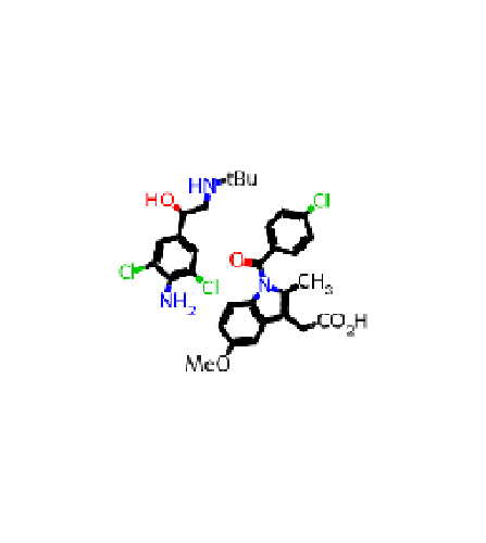 CC(C)(C)NCC(O)c1cc(Cl)c(N)c(Cl)c1.COc1ccc2c(c1)c(CC(=O)O)c(C)n2C(=O)c1ccc(Cl)cc1